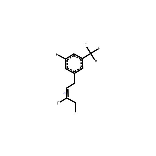 CC/C(F)=C\Cc1cc(F)cc(C(F)(F)F)c1